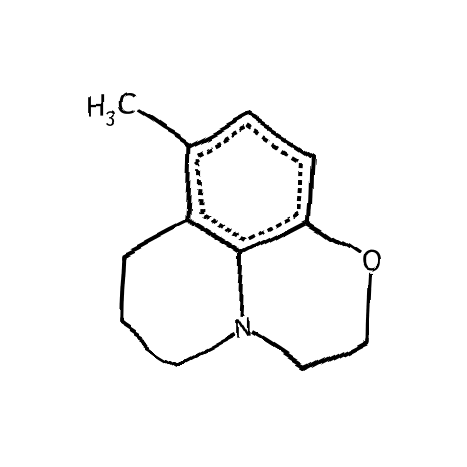 Cc1ccc2c3c1CCCN3CCO2